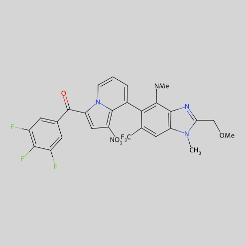 CNc1c(-c2cccn3c(C(=O)c4cc(F)c(F)c(F)c4)cc([N+](=O)[O-])c23)c(C(F)(F)F)cc2c1nc(COC)n2C